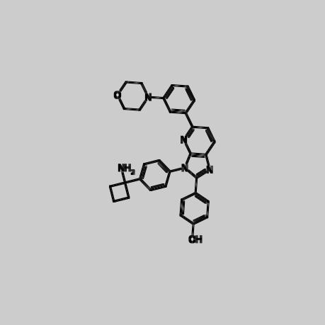 NC1(c2ccc(-n3c(-c4ccc(O)cc4)nc4ccc(-c5cccc(N6CCOCC6)c5)nc43)cc2)CCC1